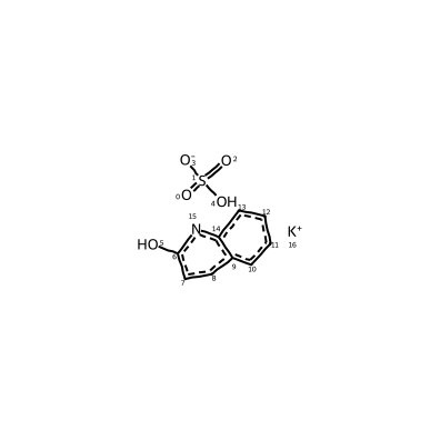 O=S(=O)([O-])O.Oc1ccc2ccccc2n1.[K+]